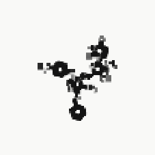 Cc1ccc(O[PH](=O)N(OC[C@H]2O[C@@H](n3ccc(=O)[nH]c3=O)[C@](C)(F)[C@@H]2O)C(C)C(=O)OCc2ccccc2)cc1